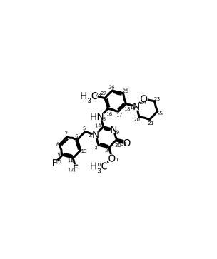 COc1cn(Cc2ccc(F)c(F)c2)c(Nc2cc(N3CCCCO3)ccc2C)nc1=O